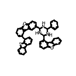 c1ccc(C2NC(c3ccc4oc5cccc(-c6cccc7c6sc6ccccc67)c5c4c3)NC(c3cccc4oc5ccccc5c34)N2)cc1